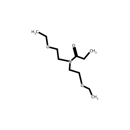 CCOCCN(CCOCC)C(=O)CC